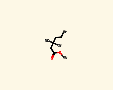 CC(C)CCC(C#N)(C#N)CC(=O)OC(C)(C)C